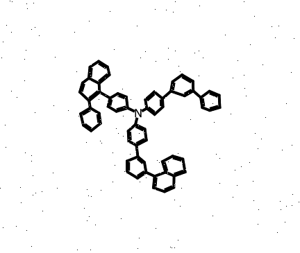 c1ccc(-c2cccc(-c3ccc(N(c4ccc(-c5cccc(-c6cccc7ccccc67)c5)cc4)c4ccc(-c5c(-c6ccccc6)ccc6ccccc56)cc4)cc3)c2)cc1